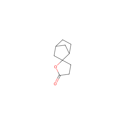 O=C1CCC2(CC3CCC2C3)O1